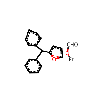 CCOC=O.c1ccc(C(c2ccccc2)c2ccco2)cc1